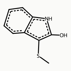 CSc1c(O)[nH]c2ccccc12